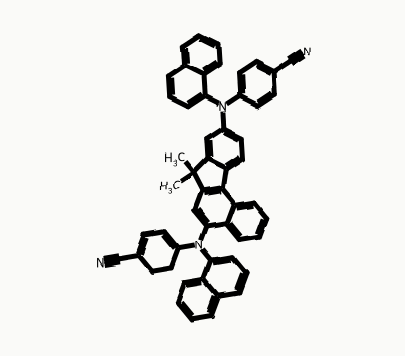 CC1(C)c2cc(N(c3ccc(C#N)cc3)c3cccc4ccccc34)ccc2-c2c1cc(N(C1=CC=C(C#N)CC1)c1cccc3ccccc13)c1ccccc21